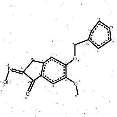 COc1cc2c(cc1OCc1ccccc1)C/C(=N/O)C2=O